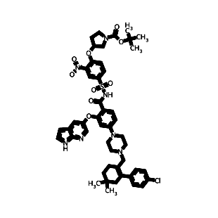 CC1(C)CCC(CN2CCN(c3ccc(C(=O)NS(=O)(=O)c4ccc(OC5CCN(C(=O)OC(C)(C)C)C5)c([N+](=O)[O-])c4)c(Oc4cnc5[nH]ccc5c4)c3)CC2)=C(c2ccc(Cl)cc2)C1